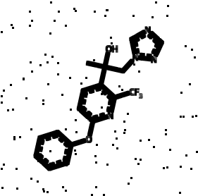 CC(O)(Cn1cncn1)c1ccc(Oc2ccccc2)nc1C(F)(F)F